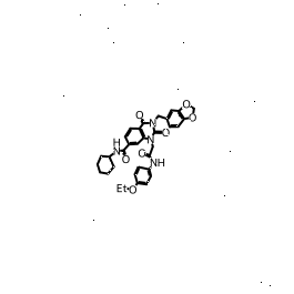 CCOc1ccc(NC(=O)Cn2c(=O)n(Cc3ccc4c(c3)OCO4)c(=O)c3ccc(C(=O)NC4CCCCC4)cc32)cc1